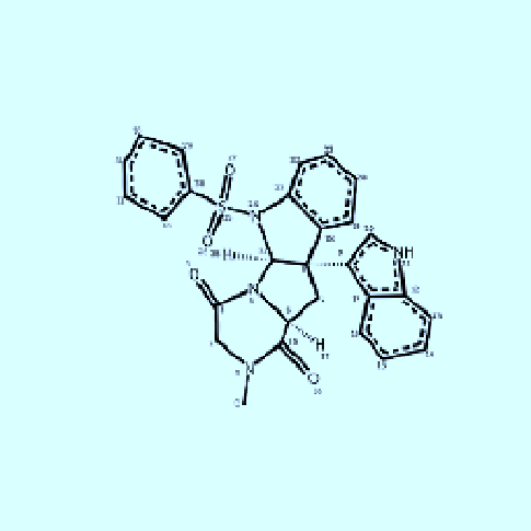 CN1CC(=O)N2[C@@H](C[C@]3(c4c[nH]c5ccccc45)c4ccccc4N(S(=O)(=O)c4ccccc4)[C@H]23)C1=O